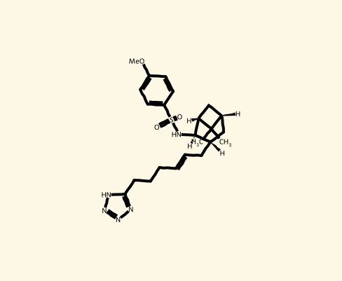 COc1ccc(S(=O)(=O)N[C@@H]2[C@@H](CC=CCCCc3nnn[nH]3)C[C@H]3C[C@@H]2C3(C)C)cc1